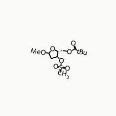 COC1C[C@H](OS(C)(=O)=O)[C@@H](COC(=O)C(C)(C)C)O1